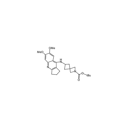 COc1cc2nc3c(c(NC4CC5(C4)CN(C(=O)OC(C)(C)C)C5)c2cc1OC)CCC3